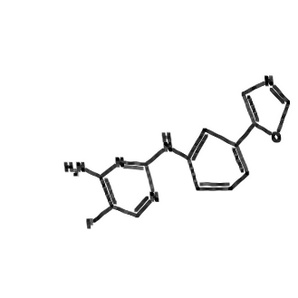 Nc1nc(Nc2cccc(-c3cnco3)c2)ncc1F